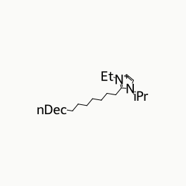 CCCCCCCCCCCCCCCCCc1n(C(C)C)cc[n+]1CC